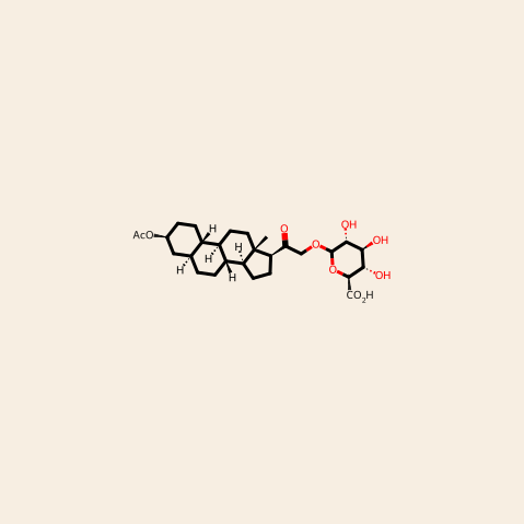 CC(=O)O[C@H]1CC[C@H]2[C@@H](CC[C@@H]3[C@@H]2CC[C@]2(C)[C@@H](C(=O)COC4O[C@H](C(=O)O)[C@@H](O)[C@H](O)[C@H]4O)CC[C@@H]32)C1